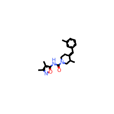 Cc1cccc(C=C2CCN(C(=O)Nc3onc(C)c3C)CC2C)c1